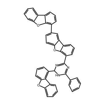 c1ccc(C2=NC(c3cccc4c3oc3ccc(-c5cccc6c5oc5ccccc56)cc34)=NC(c3cccc4oc5ccccc5c34)N2)cc1